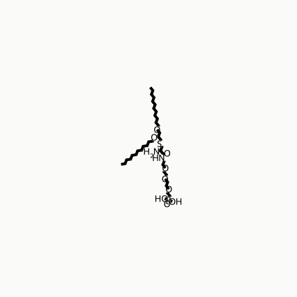 CCCCCCCCCCCCOCC(CSCC(N)C(=O)NCCOCCOCCOCCP(=O)(O)O)OCCCCCCCCCCCC